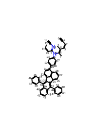 C#C/C=C\C(C)=C(/C)N(C(/C=C\C)=N/C#C)c1ccc(-c2ccc3c4c(cccc24)-c2c-3c(-c3ccccc3)c3ccccc3c2-c2ccccc2)cc1